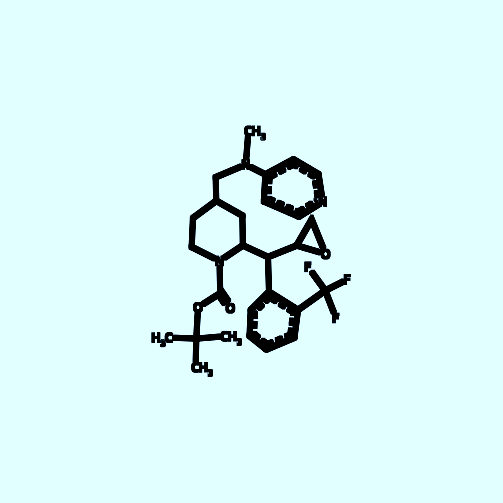 CN(CC1CCN(C(=O)OC(C)(C)C)C(C(c2ccccc2C(F)(F)F)C2CO2)C1)c1ccncc1